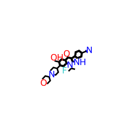 CC(C)n1c2[nH]c3cc(C#N)ccc3c2c(=O)c2cc(CO)c(C3CCN(C4CCOCC4)CC3)c(F)c21